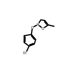 CCc1ccc(ON2CC=C(C)O2)cc1